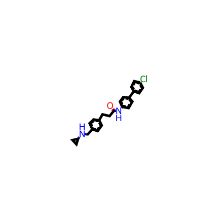 O=C(CCc1ccc(CNC2CC2)cc1)Nc1ccc(-c2ccc(Cl)cc2)cc1